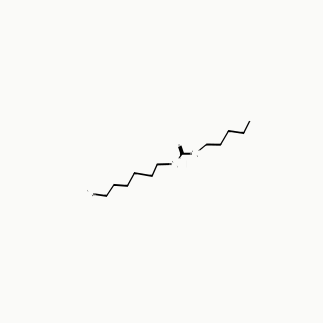 CCCCCNC(=O)NCCCCCCN